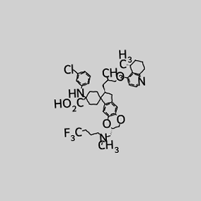 C[C@@H](COc1ccnc2c1[C@H](C)CCC2)C[C@H]1Cc2cc3c(cc2C12CCC(Nc1cccc(Cl)c1)(C(=O)O)CC2)O[C@@H](CN(C)CCCC(F)(F)F)CO3